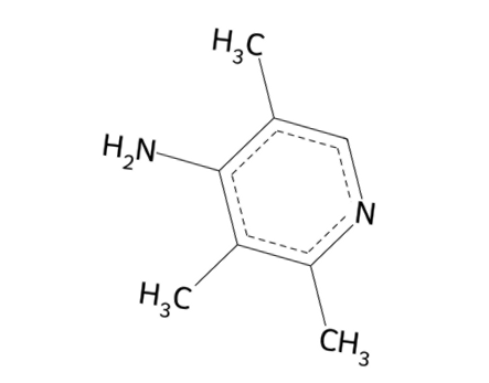 Cc1cnc(C)c(C)c1N